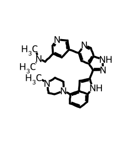 CN(C)Cc1cncc(-c2cc3c(-c4cc5c(N6CCN(C)CC6)cccc5[nH]4)n[nH]c3cn2)c1